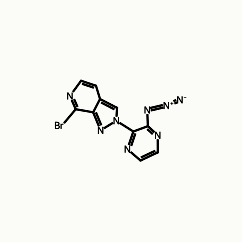 [N-]=[N+]=Nc1nccnc1-n1cc2ccnc(Br)c2n1